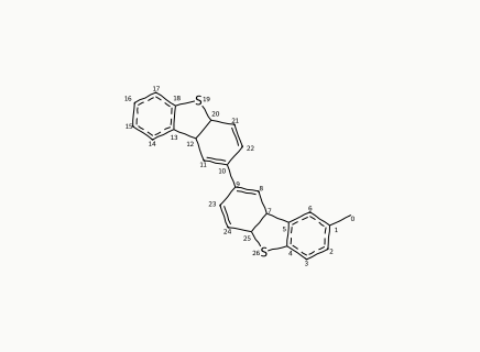 Cc1ccc2c(c1)C1C=C(C3=CC4c5ccccc5SC4C=C3)C=CC1S2